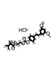 COc1cc(/C=C/c2ccc(OC(=O)OCCOC(=O)C(N)C(C)C)cc2)cc(OC)c1.Cl